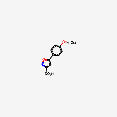 CCCCCCCCOc1ccc(-c2cc(C(=O)O)no2)cc1